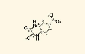 O=C(Cl)c1ccc2[nH]c(=O)c(=O)[nH]c2c1